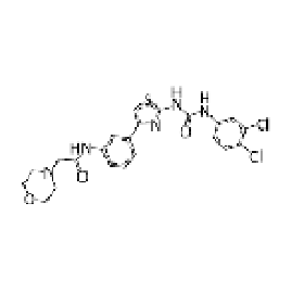 O=C(CN1CCOCC1)Nc1cccc(-c2csc(NC(=O)Nc3ccc(Cl)c(Cl)c3)n2)c1